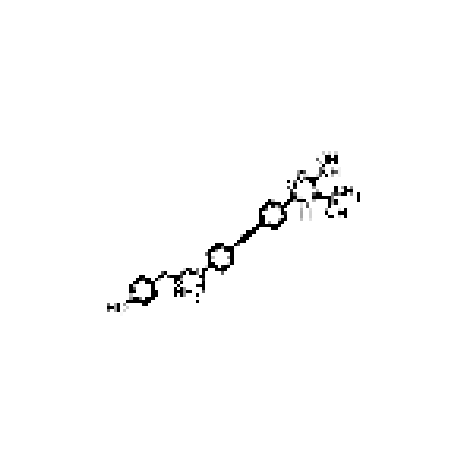 C[C@@H](O)[C@H](NC(=O)c1ccc(C#Cc2ccc(NC[C@H](N)Cc3ccc(O)cc3)cc2)cc1)C(=O)NO